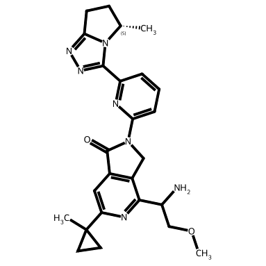 COCC(N)c1nc(C2(C)CC2)cc2c1CN(c1cccc(-c3nnc4n3[C@@H](C)CC4)n1)C2=O